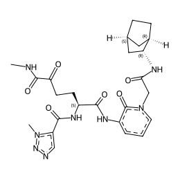 CNC(=O)C(=O)CC[C@H](NC(=O)c1cnnn1C)C(=O)Nc1cccn(CC(=O)N[C@@H]2C[C@H]3CC[C@@H]2C3)c1=O